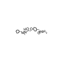 CC(CCc1ccccc1)NCC(O)COc1ccc(CC(N)=O)cc1